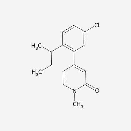 CCC(C)c1ccc(Cl)cc1-c1ccn(C)c(=O)c1